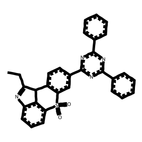 CCC1=Nc2cccc3c2C1c1ccc(-c2nc(-c4ccccc4)nc(-c4ccccc4)n2)cc1S3(=O)=O